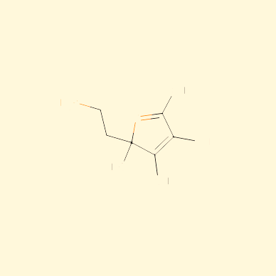 CC1=PC(C)(CCP)C(C)=C1C